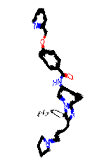 Cc1c(CCCN2CCCC2)nc2ccc(NC(=O)c3ccc(OCc4ccccn4)cc3)cn12